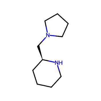 C1CC[C@@H](CN2CCCC2)NC1